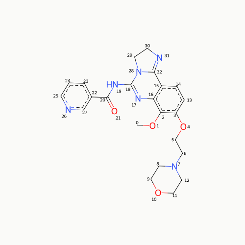 COc1c(OCCN2CCOCC2)ccc2c1N=C(NC(=O)c1cccnc1)N1CCN=C21